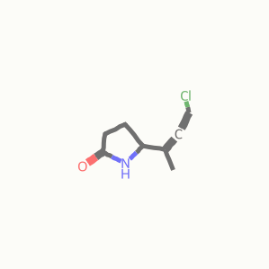 CC(=C=CCl)C1CCC(=O)N1